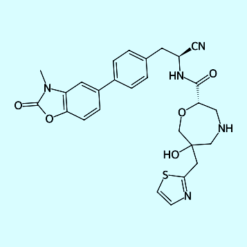 Cn1c(=O)oc2ccc(-c3ccc(C[C@@H](C#N)NC(=O)[C@@H]4CNCC(O)(Cc5nccs5)CO4)cc3)cc21